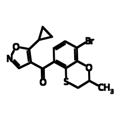 CC1CSc2c(C(=O)c3cnoc3C3CC3)ccc(Br)c2O1